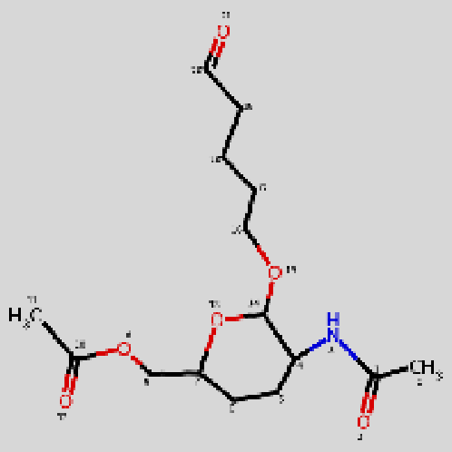 CC(=O)NC1CCC(COC(C)=O)OC1OCCCCC=O